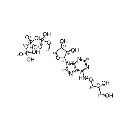 O=P(O)(O)OP(=O)(O)OP(=O)(O)OC[C@H]1O[C@@H](n2cnc3c(NOCC(O)CO)ncnc32)[C@H](O)[C@@H]1O